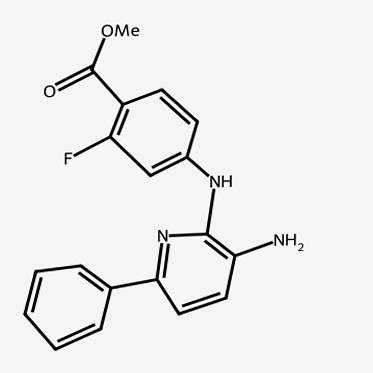 COC(=O)c1ccc(Nc2nc(-c3ccccc3)ccc2N)cc1F